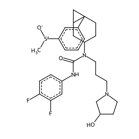 C[S+]([O-])c1cccc(C23CCC(N(CCCN4CCC(O)C4)C(=O)Nc4ccc(F)c(F)c4)CC2C3)c1